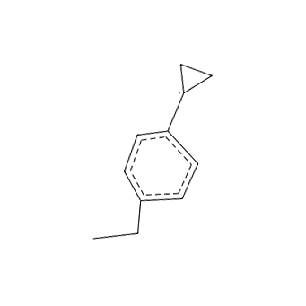 CCc1ccc([C]2CC2)cc1